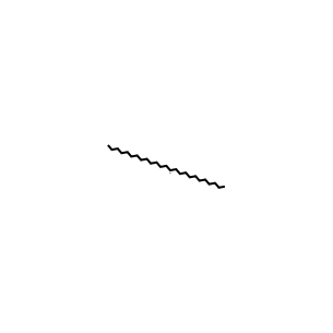 CCCCCCCCCCC[CH]CCCCCCCCCCCCC